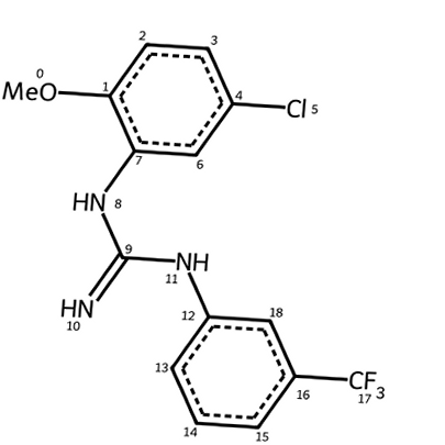 COc1ccc(Cl)cc1NC(=N)Nc1cccc(C(F)(F)F)c1